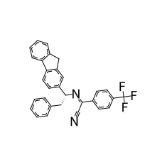 N#C/C(=N\[C@H](Cc1ccccc1)c1ccc2c(c1)Cc1ccccc1-2)c1ccc(C(F)(F)F)cc1